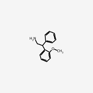 COc1ccccc1C(CN)c1ccccc1